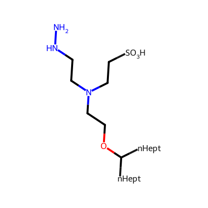 CCCCCCCC(CCCCCCC)OCCN(CCNN)CCS(=O)(=O)O